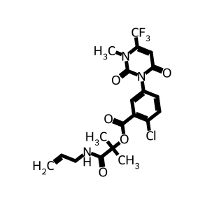 C=CCNC(=O)C(C)(C)OC(=O)c1cc(-n2c(=O)cc(C(F)(F)F)n(C)c2=O)ccc1Cl